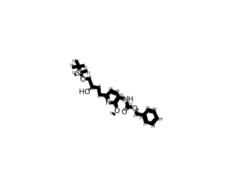 COc1nc(CC[C@@H](O)CO[Si](C)(C)C(C)(C)C)ccc1NC(=O)OCc1ccccc1